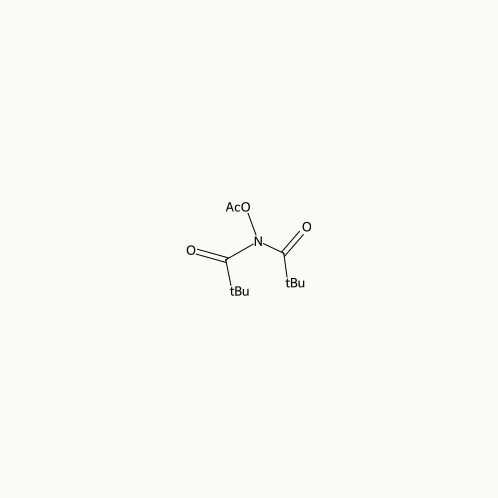 CC(=O)ON(C(=O)C(C)(C)C)C(=O)C(C)(C)C